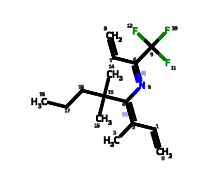 C=C/C(C)=C(\N=C(/C=C)C(F)(F)F)C(C)(C)CCC